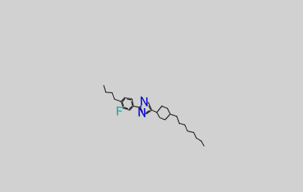 CCCCCCCCC1CCC(c2cnc(-c3ccc(CCCC)c(F)c3)nc2)CC1